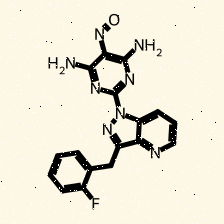 Nc1nc(-n2nc(Cc3ccccc3F)c3ncccc32)nc(N)c1N=O